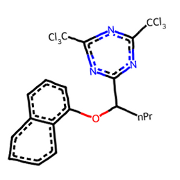 CCCC(Oc1cccc2ccccc12)c1nc(C(Cl)(Cl)Cl)nc(C(Cl)(Cl)Cl)n1